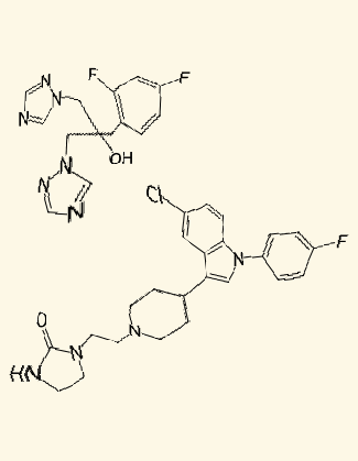 O=C1NCCN1CCN1CCC(c2cn(-c3ccc(F)cc3)c3ccc(Cl)cc23)CC1.OC(Cn1cncn1)(Cn1cncn1)c1ccc(F)cc1F